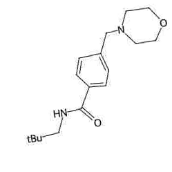 CC(C)(C)CNC(=O)c1ccc(CN2CCOCC2)cc1